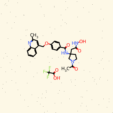 CC(=O)N1CCC(CC(=O)NO)(NC(=O)c2ccc(OCc3cc(C)nc4ccccc34)cc2)C1.O=C(O)C(F)(F)F